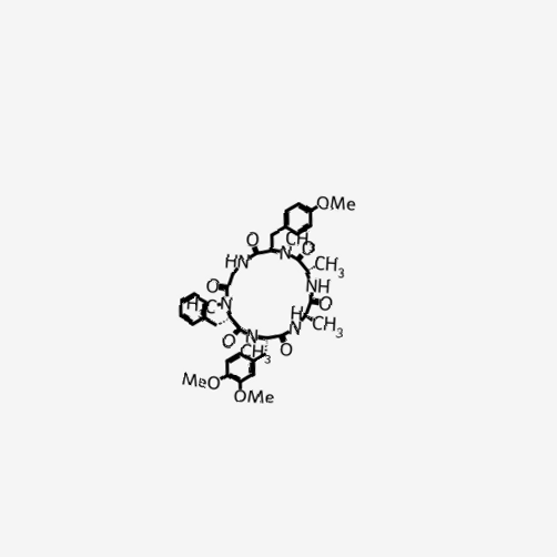 COc1ccc(CC2C(=O)NCC(=O)N(C)[C@@H](Cc3ccccc3)C(=O)N(C)[C@@H](Cc3ccc(OC)c(OC)c3)C(=O)N[C@H](C)C(=O)N[C@@H](C)C(=O)N2C)cc1